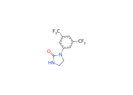 O=C1NCCN1c1cc(C(F)(F)F)cc(C(F)(F)F)c1